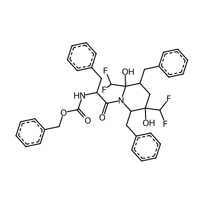 O=C(NC(Cc1ccccc1)C(=O)N1C(Cc2ccccc2)C(O)(C(F)F)CC(Cc2ccccc2)C1(O)C(F)F)OCc1ccccc1